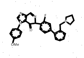 COc1ccc(-n2cnc3c2C(=O)C(c2ccc(-c4ccccc4CN4CCCC4)cc2F)N=C3)cc1